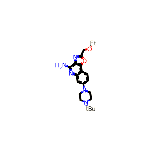 CCOCc1nc2c(N)nc3cc(N4CCN(C(C)(C)C)CC4)ccc3c2o1